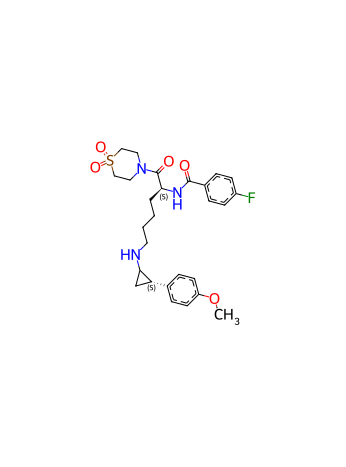 COc1ccc([C@@H]2CC2NCCCC[C@H](NC(=O)c2ccc(F)cc2)C(=O)N2CCS(=O)(=O)CC2)cc1